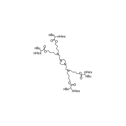 CCCCCCC(CCCC)C(=O)OCCCCN(CCCCOC(=O)C(CCCC)CCCCCC)CCN1CCN(CCN(CCCCOC(=O)C(CCCC)CCCCCC)CCCCOC(=O)C(CCCC)CCCCCC)CC1